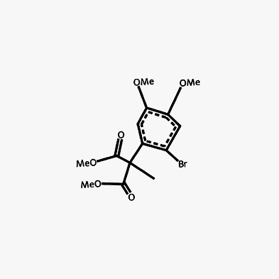 COC(=O)C(C)(C(=O)OC)c1cc(OC)c(OC)cc1Br